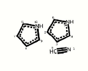 C#N.c1cc[nH]c1.c1cc[nH]c1